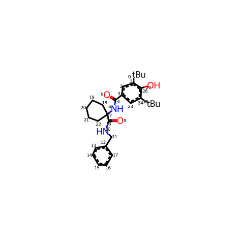 CC(C)(C)c1cc(C(=O)NC2(C(=O)NCc3ccccc3)CCCCC2)cc(C(C)(C)C)c1O